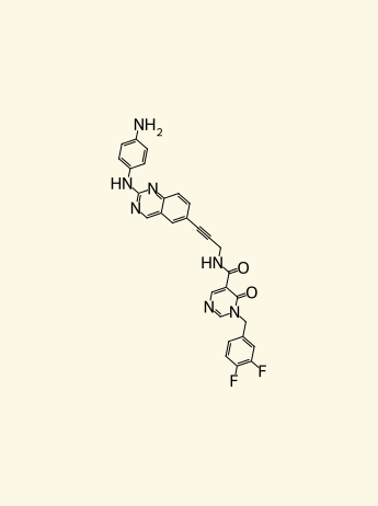 Nc1ccc(Nc2ncc3cc(C#CCNC(=O)c4cncn(Cc5ccc(F)c(F)c5)c4=O)ccc3n2)cc1